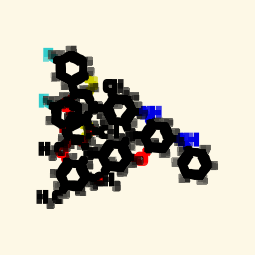 Cc1cc(C)c2c(c1)Oc1c(sc3ccc(F)cc13)B2c1cc2c(cc1C)Nc1cc(Nc3ccccc3)cc3c1B2c1cc(B2c4sc5ccc(F)cc5c4Oc4cc(C)cc(C)c42)c(C)cc1O3